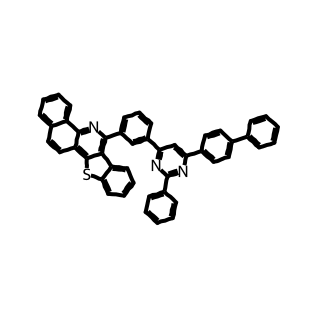 c1ccc(-c2ccc(-c3cc(-c4cccc(-c5nc6c7ccccc7ccc6c6sc7ccccc7c56)c4)nc(-c4ccccc4)n3)cc2)cc1